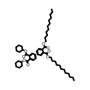 CCCCCCCCCCCCOC(=O)c1ccccc1C(=O)OCCCCCCCCCCCC.O=C(OC1CCCCC1)c1ccccc1C(=O)OC1CCCCC1